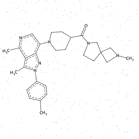 Cc1ccc(-n2nc3c(N4CCC(C(=O)N5CCC6(CN(C)C6)C5)CC4)cnc(C)c3c2C)cc1